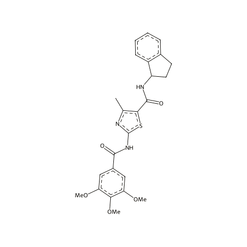 COc1cc(C(=O)Nc2nc(C)c(C(=O)NC3CCc4ccccc43)s2)cc(OC)c1OC